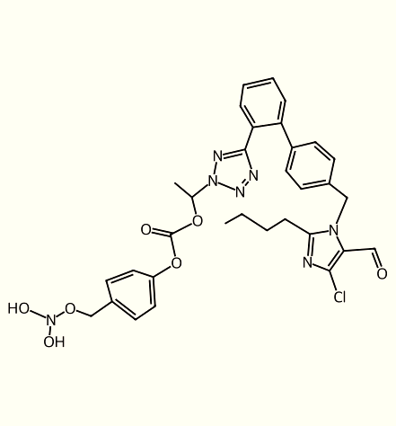 CCCCc1nc(Cl)c(C=O)n1Cc1ccc(-c2ccccc2-c2nnn(C(C)OC(=O)Oc3ccc(CON(O)O)cc3)n2)cc1